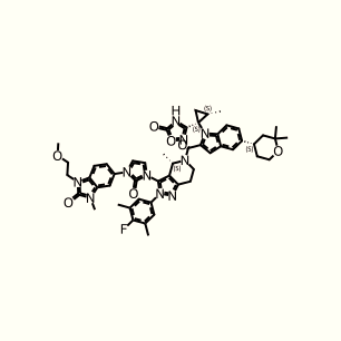 COCCn1c(=O)n(C)c2cc(-n3ccn(-c4c5c(nn4-c4cc(C)c(F)c(C)c4)CCN(C(=O)c4cc6cc([C@H]7CCOC(C)(C)C7)ccc6n4[C@@]4(c6noc(=O)[nH]6)C[C@@H]4C)[C@H]5C)c3=O)ccc21